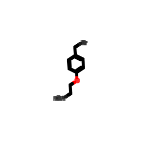 CCCCCCCCCCOc1ccc(CC(C)C)cc1